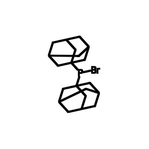 BrP(C12CC3CC(CC(C3)C1)C2)C12CC3CC(CC(C3)C1)C2